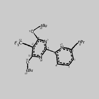 CCCc1cccc(-c2nc(OC(C)(C)C)c(C(F)(F)F)c(OC(C)(C)C)n2)n1